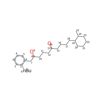 CCCCc1ccccc1CC(=O)CCCC(=O)CCCCC1CCCCC1C